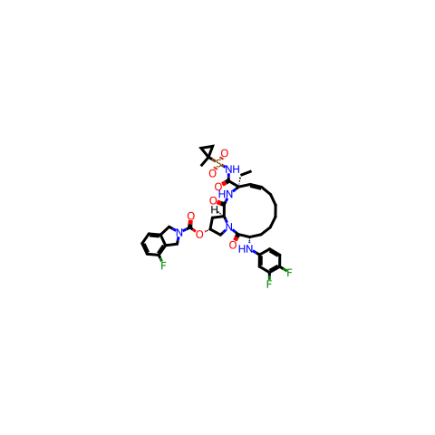 CC[C@]1(C(=O)NS(=O)(=O)C2(C)CC2)/C=C\CCCCC[C@H](Nc2ccc(F)c(F)c2)C(=O)N2C[C@H](OC(=O)N3Cc4cccc(F)c4C3)C[C@H]2C(=O)N1